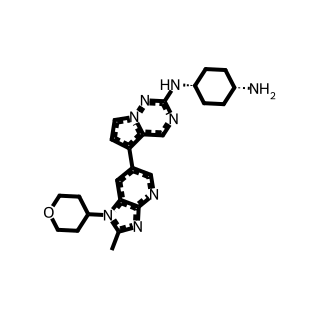 Cc1nc2ncc(-c3ccn4nc(N[C@H]5CC[C@@H](N)CC5)ncc34)cc2n1C1CCOCC1